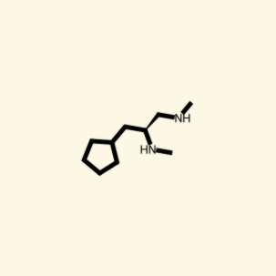 CNC[C@H](CC1CCCC1)NC